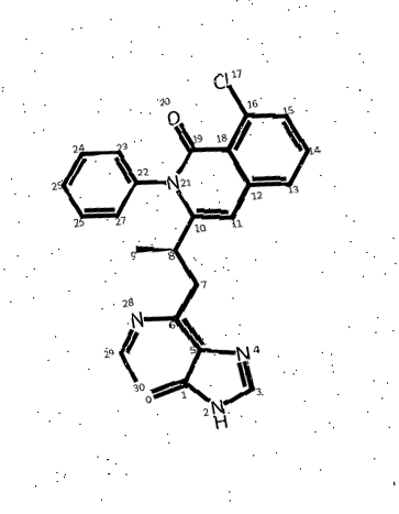 C=c1[nH]cn/c1=C(C[C@@H](C)c1cc2cccc(Cl)c2c(=O)n1-c1ccccc1)/N=C\C